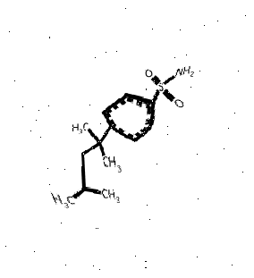 CC(C)CC(C)(C)c1ccc(S(N)(=O)=O)cc1